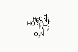 CC(N)(c1cc([N+](=O)[O-])ccc1F)C(F)(F)CO